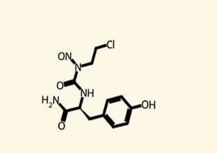 NC(=O)[C@H](Cc1ccc(O)cc1)NC(=O)N(CCCl)N=O